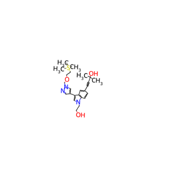 CC(C)(O)C#Cc1ccc2c(c1)c(-c1cnn(COCCS(C)(C)C)c1)cn2CCO